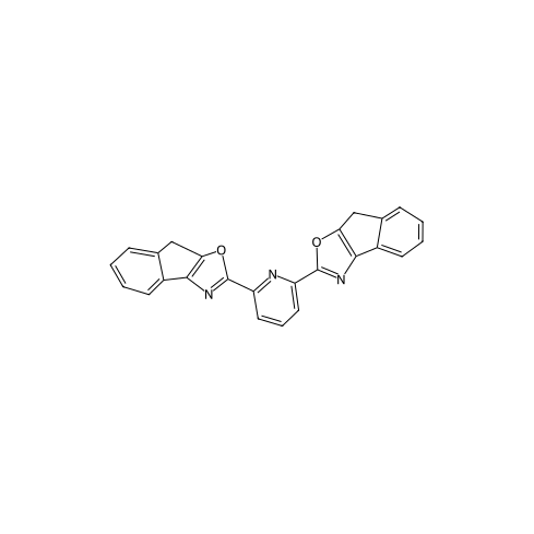 c1cc(-c2nc3c(o2)Cc2ccccc2-3)nc(-c2nc3c(o2)Cc2ccccc2-3)c1